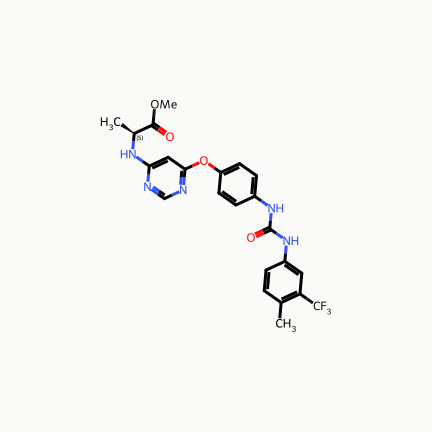 COC(=O)[C@H](C)Nc1cc(Oc2ccc(NC(=O)Nc3ccc(C)c(C(F)(F)F)c3)cc2)ncn1